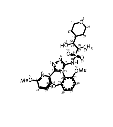 COC1=NC(c2nnc(NS(=O)(=O)[C@H](C)[C@@H](O)C3CCOCC3)n2-c2c(O)cccc2OC)=C=C=C1